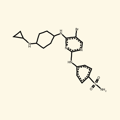 NS(=O)(=O)c1ccc(Nc2ncc(Br)c(NC3CCC(NC4CC4)CC3)n2)cc1